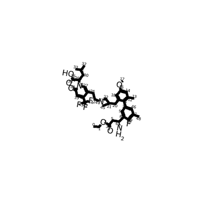 CCOC(=O)C[C@H](N)c1cc(-c2c(C)cc(OC)cc2CC2CN(CCc3cn(C(CC(C)C)C(=O)O)c(=O)cc3C(F)(F)F)C2)cc(C)c1F